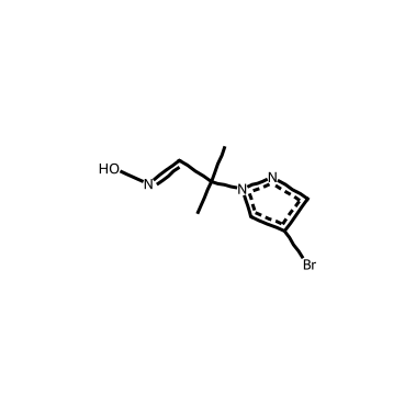 CC(C)(C=NO)n1cc(Br)cn1